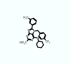 Cc1cccc(-c2nc3nc(C(=O)O)nc(NC4CCCCC4)c3n2Cc2ccc(C(F)(F)F)cc2)c1